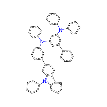 c1ccc(-c2cc(N(c3ccccc3)c3ccccc3)cc(N(c3ccccc3)c3cccc(-c4ccc5c6ccccc6n(-c6ccccc6)c5c4)c3)c2)cc1